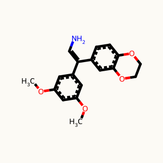 COc1cc(OC)cc(/C(=C/N)c2ccc3c(c2)OCCO3)c1